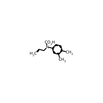 C=CCN(C(=O)O)c1ccc(C)c(C)c1